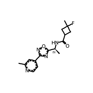 Cc1cc(-c2noc([C@H](C)NC(=O)C3CC(C)(F)C3)n2)ccn1